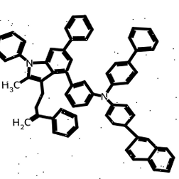 C=C(CCc1c(C)n(-c2ccccc2)c2cc(-c3ccccc3)cc(-c3cccc(N(C4=CCC(c5ccc6ccccc6c5)C=C4)c4ccc(-c5ccccc5)cc4)c3)c12)c1ccccc1